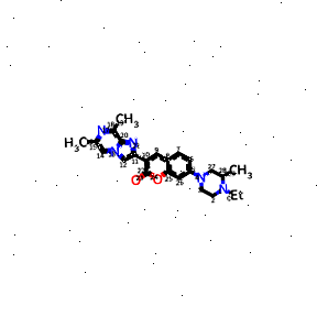 CCN1CCN(c2ccc3cc(-c4cn5cc(C)nc(C)c5n4)c(=O)oc3c2)CC1C